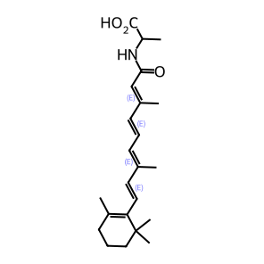 CC1=C(/C=C/C(C)=C/C=C/C(C)=C/C(=O)NC(C)C(=O)O)C(C)(C)CCC1